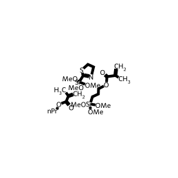 C=C(C)C(=O)OCCC[Si](OC)(OC)OC.CO[Si](OC)(OC)C1=NCCS1.[CH2]CCOC(=O)C(=C)C